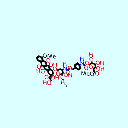 COC(=O)C1OC(OC(=O)Nc2ccc(COC(=O)NC3CC(OC4C[C@](O)(C(=O)CO)Cc5c(O)c6c(c(O)c54)C(=O)c4c(OC)cccc4C6=O)OC(C)C3O)cc2)C(O)C(O)C1O